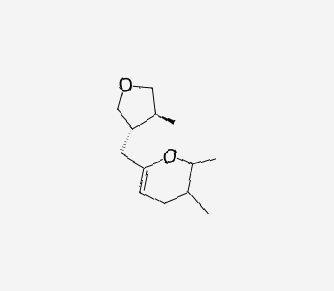 CC1CC=C(C[C@@H]2COC[C@H]2C)OC1C